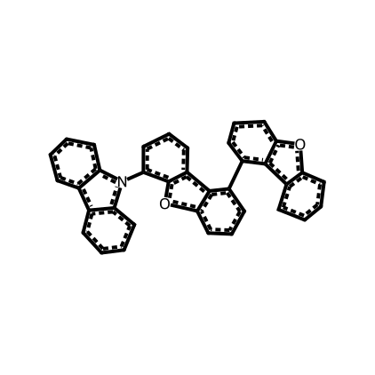 c1ccc2c(c1)oc1cccc(-c3cccc4oc5c(-n6c7ccccc7c7ccccc76)cccc5c34)c12